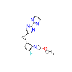 COC1CN(c2cc([C@@H]3C[C@H]3c3cnc(-c4ncccn4)nc3)ccc2F)C1